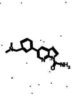 CN(C)Cc1cccc(-c2cnc3c([c]cn3C(N)=O)c2)c1